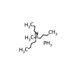 CCCC[PH](C)(CCCC)CCCC.P